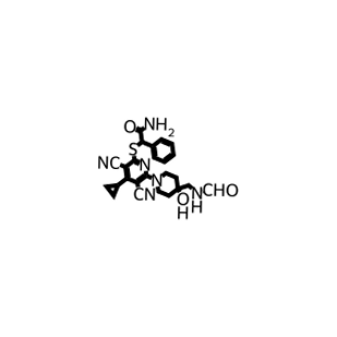 N#Cc1c(SC(C(N)=O)c2ccccc2)nc(N2CCC(O)(CNC=O)CC2)c(C#N)c1C1CC1